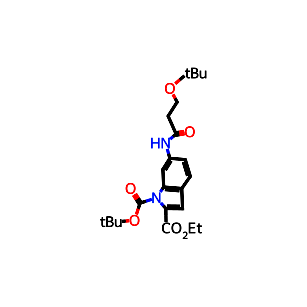 CCOC(=O)c1cc2ccc(NC(=O)CCOC(C)(C)C)cc2n1C(=O)OC(C)(C)C